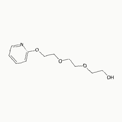 OCCOCCOCCOc1ccccn1